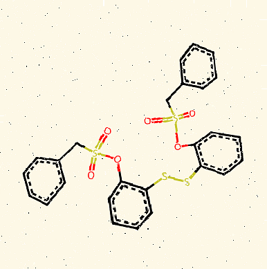 O=S(=O)(Cc1ccccc1)Oc1ccccc1SSc1ccccc1OS(=O)(=O)Cc1ccccc1